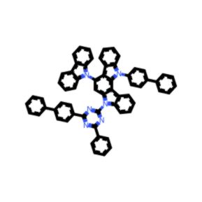 c1ccc(-c2ccc(-c3nc(-c4ccccc4)nc(-n4c5ccccc5c5c4cc(-n4c6ccccc6c6ccccc64)c4c6ccccc6n(-c6ccc(-c7ccccc7)cc6)c45)n3)cc2)cc1